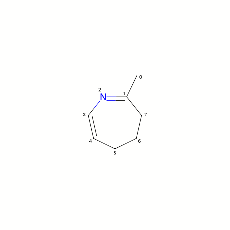 CC1=NC=CCCC1